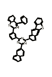 c1ccc(-c2nc(-c3cccc(-c4nc(-c5ccc6ccccc6c5)nc(-c5ccc6cc7sc8ccccc8c7cc6c5)n4)c3)nc3ccccc23)cc1